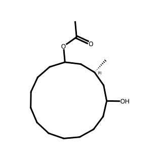 CC(=O)OC1CCCCCCCCCCC(O)C[C@@H](C)C1